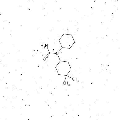 CC1(C)CCC(N(C(N)=O)C2CCCCC2)CC1